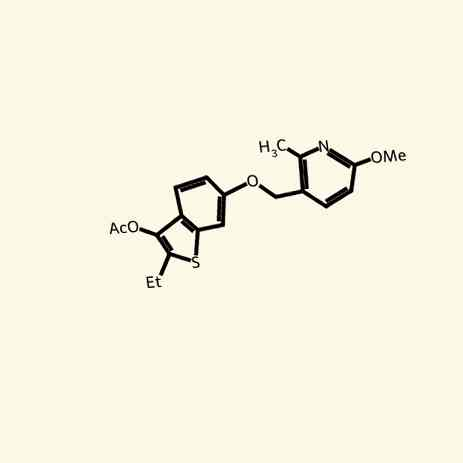 CCc1sc2cc(OCc3ccc(OC)nc3C)ccc2c1OC(C)=O